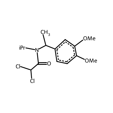 COc1ccc(C(C)N(C(=O)C(Cl)Cl)C(C)C)cc1OC